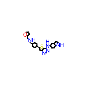 c1coc(CNCc2ccc(-c3cc4ncnc(Nc5ccc6[nH]ccc6c5)c4s3)cc2)c1